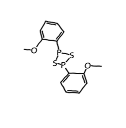 COc1ccccc1P1SP(c2ccccc2OC)S1